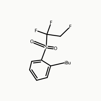 CCC(C)c1ccccc1S(=O)(=O)C(F)(F)CF